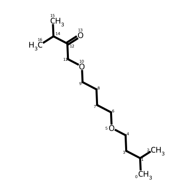 CC(C)CCOCCCCOCC(=O)C(C)C